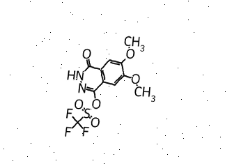 COc1cc2c(OS(=O)(=O)C(F)(F)F)n[nH]c(=O)c2cc1OC